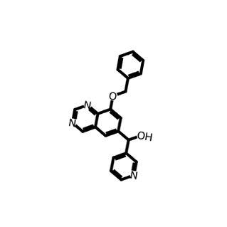 OC(c1cccnc1)c1cc(OCc2ccccc2)c2ncncc2c1